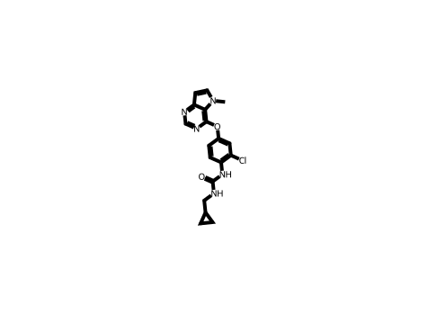 Cn1ccc2ncnc(Oc3ccc(NC(=O)NCC4CC4)c(Cl)c3)c21